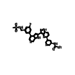 CCCC(=O)Nc1cncc(-c2ccc3[nH]nc(-c4cc5c(-c6cc(F)cc(CNS(C)(=O)=O)c6)cncc5[nH]4)c3n2)c1